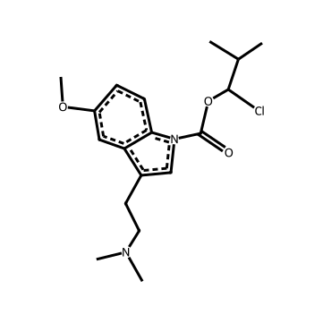 COc1ccc2c(c1)c(CCN(C)C)cn2C(=O)OC(Cl)C(C)C